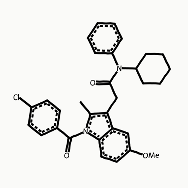 COc1ccc2c(c1)c(CC(=O)N(c1ccccc1)C1CCCCC1)c(C)n2C(=O)c1ccc(Cl)cc1